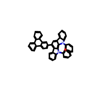 c1ccc(-n2c3ccccc3c3cc(-c4ccc5c6ccccc6c6ccccc6c5c4)c4c5ccccc5n(-c5ccccc5)c4c32)cc1